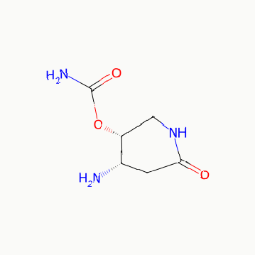 NC(=O)O[C@@H]1CNC(=O)C[C@@H]1N